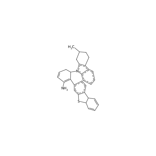 CC1CCc2c(n(C3CC=CC(N)=C3c3ccc4c(c3)SC3C=CC=CC43)c3ccccc23)C1